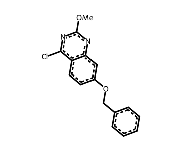 COc1nc(Cl)c2ccc(OCc3ccccc3)cc2n1